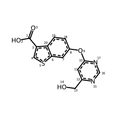 O=C(O)c1csc2cc(Oc3cc(CO)ncn3)ccc12